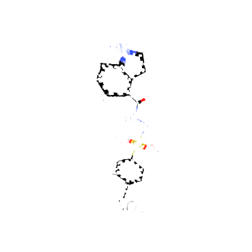 O=C(NNS(=O)(=O)c1ccc([N+](=O)[O-])cc1)c1cccc2[nH]ccc12